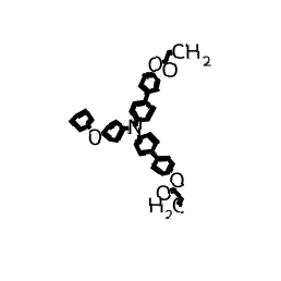 C=CC(=O)Oc1ccc(-c2ccc(N(c3ccc(Oc4ccccc4)cc3)c3ccc(-c4ccc(OC(=O)C=C)cc4)cc3)cc2)cc1